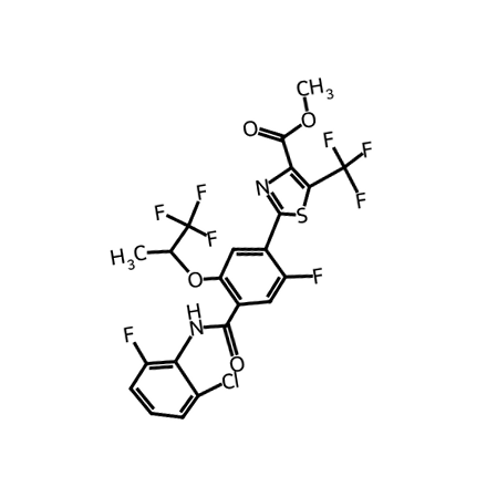 COC(=O)c1nc(-c2cc(OC(C)C(F)(F)F)c(C(=O)Nc3c(F)cccc3Cl)cc2F)sc1C(F)(F)F